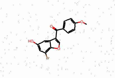 COc1ccc(C(=O)c2coc3c(Br)cc(O)cc23)cc1